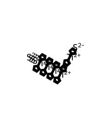 C1=CC[C]([Ti+2][C]2=CC=CC2)=C1.C1=CC[C]([Ti+2][C]2=CC=CC2)=C1.C1=CC[C]([Ti+2][C]2=CC=CC2)=C1.C1=CC[C]([Ti+2][C]2=CC=CC2)=C1.C1=CC[C]([Ti+2][C]2=CC=CC2)=C1.[S-2].[S-2].[S-2].[S-2].[S-2]